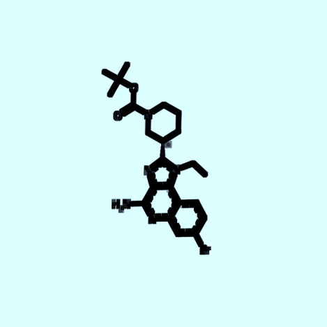 CCn1c([C@H]2CCCN(C(=O)OC(C)(C)C)C2)nc2c(N)nc3cc(Br)ccc3c21